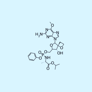 COc1nc(N)nc2c1ncn2C1OC(COP(=O)(N[C@@H](C)C(=O)OC(C)C)Oc2ccccc2)[C@@H](O)[C@]12CCO2